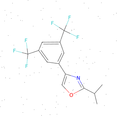 CC(C)c1nc(-c2cc(C(F)(F)F)cc(C(F)(F)F)c2)co1